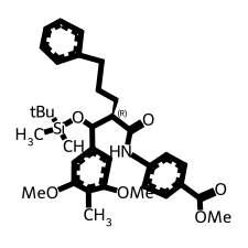 COC(=O)c1ccc(NC(=O)[C@H](CCCc2ccccc2)C(O[Si](C)(C)C(C)(C)C)c2cc(OC)c(C)c(OC)c2)cc1